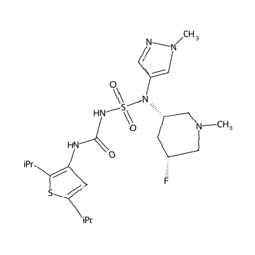 CC(C)c1cc(NC(=O)NS(=O)(=O)N(c2cnn(C)c2)[C@H]2C[C@@H](F)CN(C)C2)c(C(C)C)s1